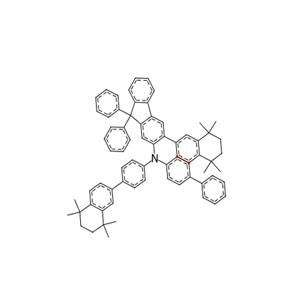 CC1(C)CCC(C)(C)c2cc(-c3ccc(N(c4ccc(-c5ccccc5)cc4)c4cc5c(cc4-c4ccc6c(c4)C(C)(C)CCC6(C)C)-c4ccccc4C5(c4ccccc4)c4ccccc4)cc3)ccc21